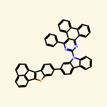 c1ccc(-c2nc(-n3c4ccccc4c4ccc(-c5ccc6c7c(sc6c5)-c5cccc6cccc-7c56)cc43)nc3c4ccccc4c4ccccc4c23)cc1